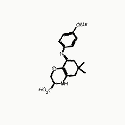 COc1ccc(/N=C2\CC(C)(C)CC3=C2OCC(C(=O)O)N3)cc1